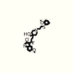 COc1ccc2ncc(Cl)c([C@@H](F)CCC3(CO)CCN(CCCSc4ccccc4OC)CC3)c2c1